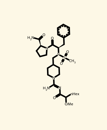 CCCCCCC(OC)C(=O)N=C(N)N1CCC(CN([C@H](Cc2ccccc2)C(=O)N2CCC[C@H]2C(N)=O)S(C)(=O)=O)CC1